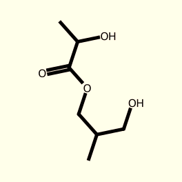 CC(CO)COC(=O)C(C)O